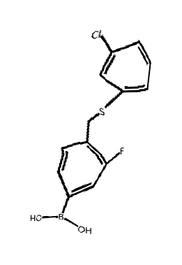 OB(O)c1ccc(CSc2cccc(Cl)c2)c(F)c1